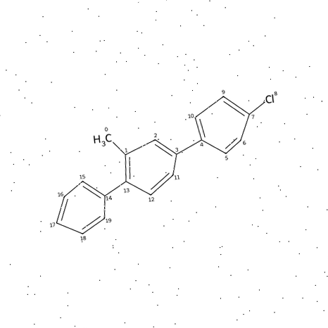 Cc1[c]c(-c2ccc(Cl)cc2)ccc1-c1ccccc1